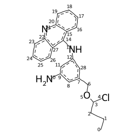 CCCC(Cl)OCc1cc(N)cc(Nc2c3ccccc3nc3ccccc23)c1